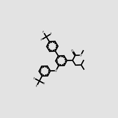 COC(=O)C(CC(C)C)c1cc(Oc2cccc(C(F)(F)F)c2)cc(-c2ccc(C(F)(F)F)cc2)c1